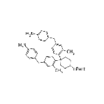 CCCCCC1CCC(c2ccc(Cc3ccc(N)cc3)cc2C)(c2ccc(Cc3ccc(N)cc3)cc2C)CC1